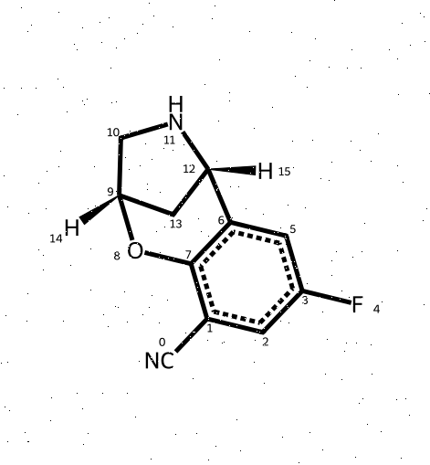 N#Cc1cc(F)cc2c1O[C@@H]1CN[C@H]2C1